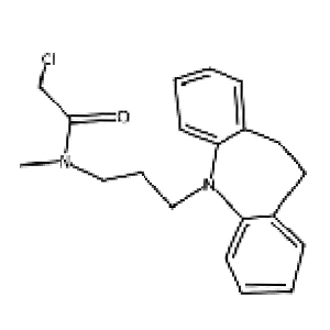 CN(CCCN1c2ccccc2CCc2ccccc21)C(=O)CCl